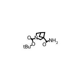 CC(C)(C)OC(=O)N1CC2CC(C(N)=O)(C2)C1